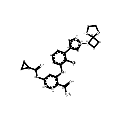 N#Cc1c(Nc2cc(NC(=O)C3CC3)nnc2C(N)=O)cccc1-c1cnn([C@@H]2CCC23OCCO3)c1